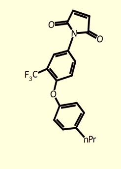 CCCc1ccc(Oc2ccc(N3C(=O)C=CC3=O)cc2C(F)(F)F)cc1